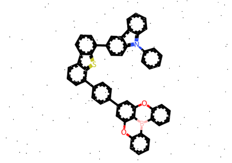 c1ccc(-n2c3ccccc3c3cc(-c4cccc5c4sc4c(-c6ccc(-c7cc8c9c(c7)Oc7ccccc7B9c7ccccc7O8)cc6)cccc45)ccc32)cc1